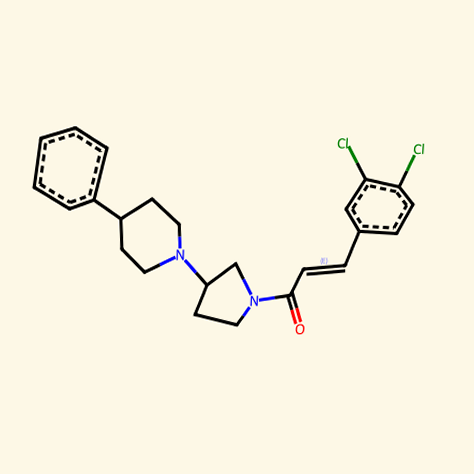 O=C(/C=C/c1ccc(Cl)c(Cl)c1)N1CCC(N2CCC(c3ccccc3)CC2)C1